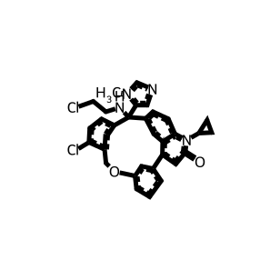 Cn1cncc1C1(NCCCl)c2ccc(Cl)c(c2)COc2cccc(c2)-c2cc(=O)n(C3CC3)c3ccc1cc23